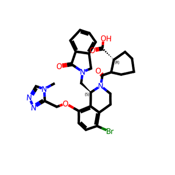 Cn1cnnc1COc1ccc(Br)c2c1[C@@H](CN1Cc3ccccc3C1=O)N(C(=O)C1CCCC[C@H]1C(=O)O)CC2